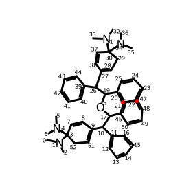 CN(C)C1(N(C)C)C=CC(C(c2ccccc2)C(OC(c2ccccc2)C(C2=CCC(N(C)C)(N(C)C)C=C2)c2ccccc2)c2ccccc2)=CC1